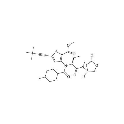 CC[C@@H](C(=O)N1C[C@@H]2C[C@H]1CO2)N(C(=O)C1CCC(C)CC1)c1cc(C#CC(C)(C)C)sc1C(=O)OC